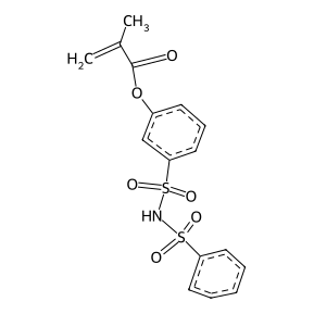 C=C(C)C(=O)Oc1cccc(S(=O)(=O)NS(=O)(=O)c2ccccc2)c1